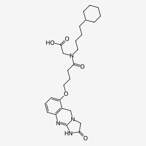 O=C(O)CN(CCCCC1CCCCC1)C(=O)CCCOc1cccc2c1CN1CC(=O)NC1=N2